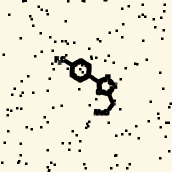 CO[CH]c1nnc(-c2ccc(C(F)(F)F)cc2)o1